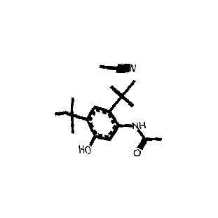 CC#N.CC(=O)Nc1cc(O)c(C(C)(C)C)cc1C(C)(C)C